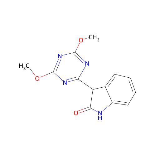 COc1nc(OC)nc(C2C(=O)Nc3ccccc32)n1